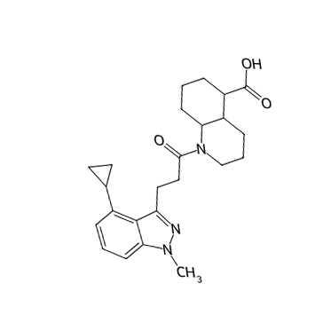 Cn1nc(CCC(=O)N2CCCC3C(C(=O)O)CCCC32)c2c(C3CC3)cccc21